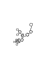 O=C1CN(c2cccc(-n3cc(-c4ccc(Cl)cc4Cl)nc3Cc3ccc(-c4cccc(CCC5CCCCC5)c4)cc3)c2)S(=O)(=O)N1